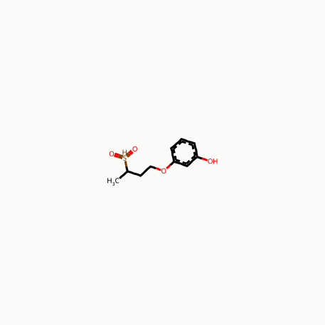 CC(CCOc1cccc(O)c1)[SH](=O)=O